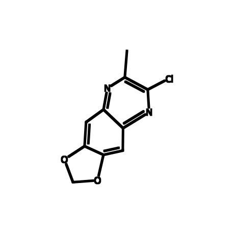 Cc1nc2cc3c(cc2nc1Cl)OCO3